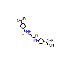 CC(C)SC(=CC#N)c1ccc(NC(=O)CCCNC(=O)c2ccc(C(=O)C(C)C)cc2)cc1